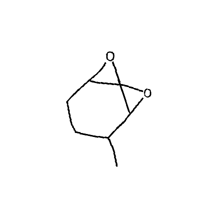 CC1CCC2OC23OC13